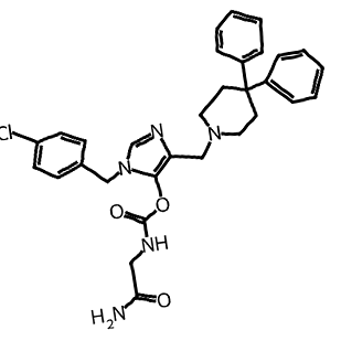 NC(=O)CNC(=O)Oc1c(CN2CCC(c3ccccc3)(c3ccccc3)CC2)ncn1Cc1ccc(Cl)cc1